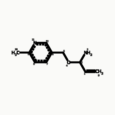 C=CC(N)OCc1ccc(C)nc1